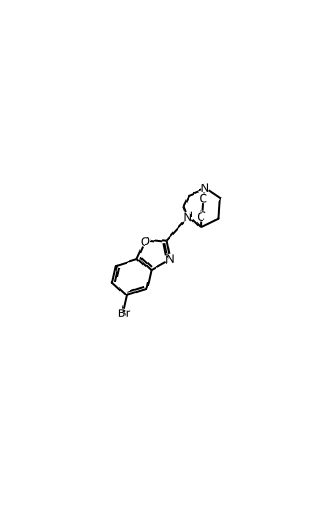 Brc1ccc2oc(N3CCN4CCC3CC4)nc2c1